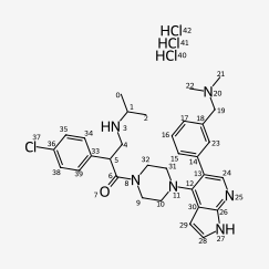 CC(C)NCC(C(=O)N1CCN(c2c(-c3cccc(CN(C)C)c3)cnc3[nH]ccc23)CC1)c1ccc(Cl)cc1.Cl.Cl.Cl